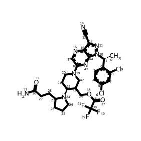 C[C@H](c1ccc(Cl)cc1Cl)n1nc(C#N)c2ncc(N3CC[C@H](N4CCCC4CCC(N)=O)C(COC(=O)C(F)(F)F)C3)nc21